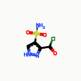 NS(=O)(=O)c1c[nH]nc1C(=O)Cl